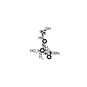 COC(=O)c1ccccc1/N=N/c1c(N)c(/N=N/c2cccc(NCCS(=O)(=O)CCO)c2)cc(S(=O)(=O)O)c1N